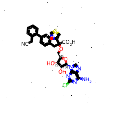 N#CCc1ccccc1-c1ccc(CC(OC[C@H]2O[C@@H](n3cnc4c(N)nc(Cl)nc43)[C@H](O)[C@@H]2O)(C(=O)O)c2cscn2)cc1